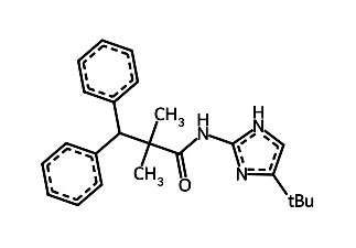 CC(C)(C)c1c[nH]c(NC(=O)C(C)(C)C(c2ccccc2)c2ccccc2)n1